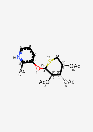 CC(=O)O[C@@H]1[C@@H](OC(C)=O)[C@@H](Oc2cccnc2C(C)=O)SC[C@H]1OC(C)=O